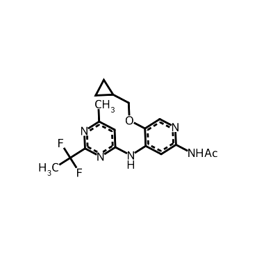 CC(=O)Nc1cc(Nc2cc(C)nc(C(C)(F)F)n2)c(OCC2CC2)cn1